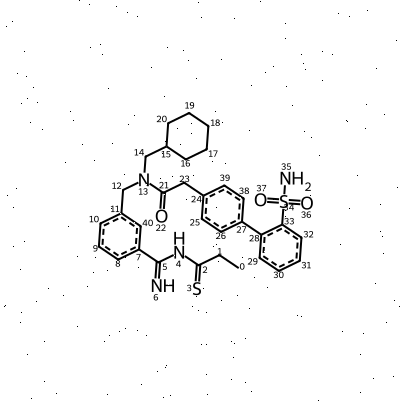 CCC(=S)NC(=N)c1cccc(CN(CC2CCCCC2)C(=O)Cc2ccc(-c3ccccc3S(N)(=O)=O)cc2)c1